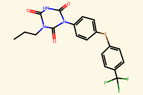 CCCn1c(=O)[nH]c(=O)n(-c2ccc(Sc3ccc(C(F)(F)F)cc3)cc2)c1=O